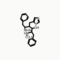 CC(=O)NC(Cc1ccccc1)C(Cc1cncs1)C(O)C(Cc1ccccc1)NC(=O)O